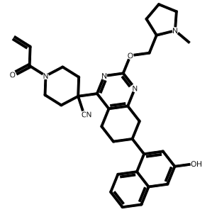 C=CC(=O)N1CCC(C#N)(c2nc(OCC3CCCN3C)nc3c2CCC(c2cc(O)cc4ccccc24)C3)CC1